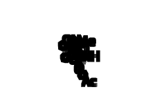 COC[C@]1(O)CCCC[C@H]1n1cnc(C(=O)N2CCNC[C@H]2CCOc2ccc(C(C)=O)cc2)c1-c1ccccc1.Cl.Cl